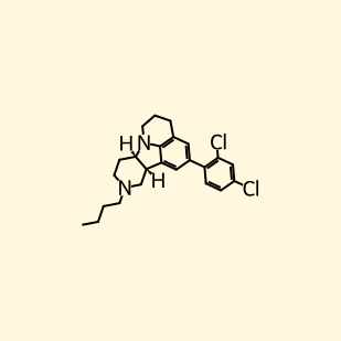 CCCCN1CC[C@H]2[C@@H](C1)c1cc(-c3ccc(Cl)cc3Cl)cc3c1N2CCC3